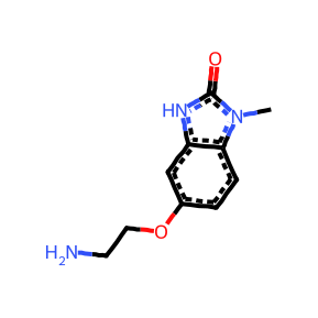 Cn1c(=O)[nH]c2cc(OCCN)ccc21